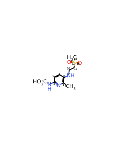 Cc1nc(NC(=O)O)ccc1NCCS(C)(=O)=O